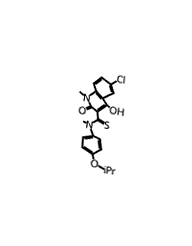 CC(C)Oc1ccc(N(C)C(=S)c2c(O)c3cc(Cl)ccc3n(C)c2=O)cc1